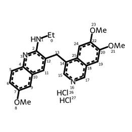 CCNc1nc2ccc(OC)cc2cc1Cc1cncc2cc(OC)c(OC)cc12.Cl.Cl